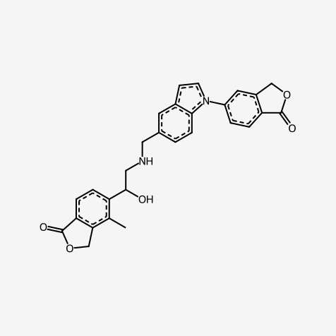 Cc1c(C(O)CNCc2ccc3c(ccn3-c3ccc4c(c3)COC4=O)c2)ccc2c1COC2=O